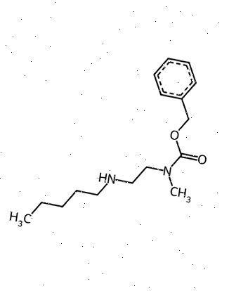 CCCCCNCCN(C)C(=O)OCc1ccccc1